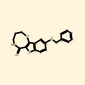 O=C1NCCCOc2c1sc1ccc(OCc3ccccc3)cc21